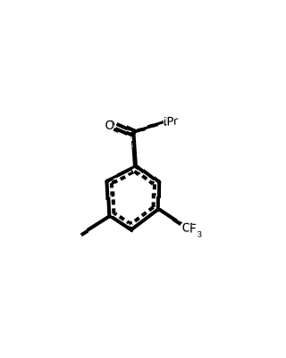 Cc1cc(C(=O)C(C)C)cc(C(F)(F)F)c1